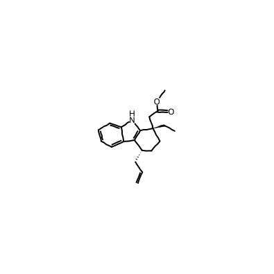 C=CC[C@H]1CC[C@@](CC)(CC(=O)OC)c2[nH]c3ccccc3c21